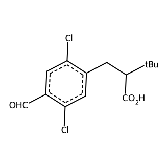 CC(C)(C)C(Cc1cc(Cl)c(C=O)cc1Cl)C(=O)O